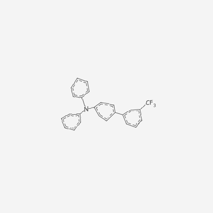 FC(F)(F)c1cccc(-c2ccc(N(c3ccccc3)c3ccccc3)cc2)c1